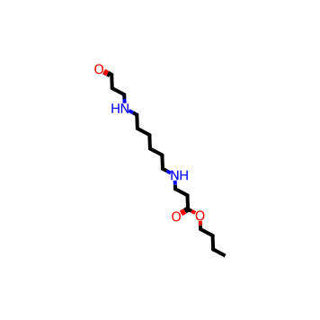 CCCCOC(=O)CCNCCCCCCNCCC=O